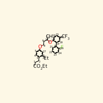 CCOC(=O)CCc1ccc(OCCC(C)Oc2ccc(C(F)(F)F)cc2-c2ccccc2F)cc1CC